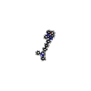 C1=CC(C2=CC(c3ccc(-c4ccc(-c5ccc(-c6nc7ccc8ccccc8c7c7c6c6ccccc6n7-c6ccccc6)cc5)cc4)cc3)=CCC(c3ccccc3)=N2)=CCC1